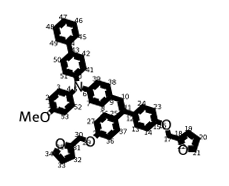 COc1ccc(N(c2ccc(C=C(c3ccc(OCc4ccco4)cc3)c3ccc(OCc4ccco4)cc3)cc2)c2ccc(-c3ccccc3)cc2)cc1